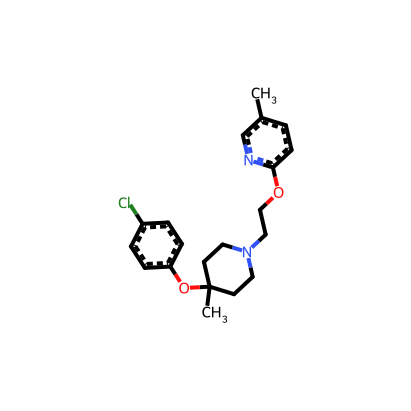 Cc1ccc(OCCN2CCC(C)(Oc3ccc(Cl)cc3)CC2)nc1